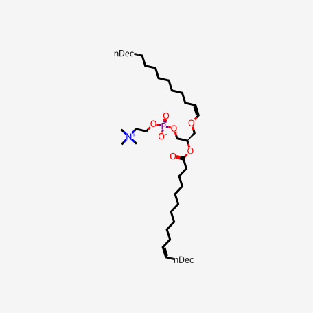 CCCCCCCCCC/C=C\CCCCCCCCCC(=O)O[C@H](CO/C=C\CCCCCCCCCCCCCCCCCC)COP(=O)([O-])OCC[N+](C)(C)C